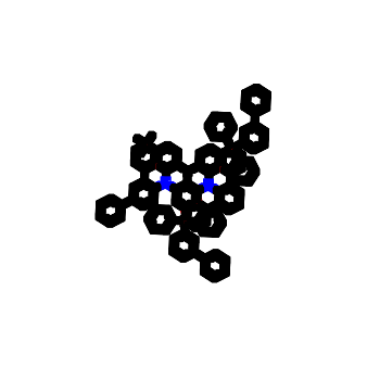 CC(C)(C)c1ccc2c(c1)N(c1ccc(-c3ccccc3)cc1-c1ccccc1)c1cc([Si](c3ccccc3)(c3ccccc3)c3cccc(-c4ccccc4)c3)cc3c1B2c1ccc([Si](c2ccccc2)(c2ccccc2)c2cccc(-c4ccccc4)c2)cc1N3c1c(-c2ccccc2)cccc1-c1ccccc1